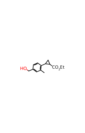 CCOC(=O)C1CC1c1ccc(CO)cc1C